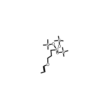 CC=COCCC[Si](O[Si](C)(C)C)(O[Si](C)(C)C)O[Si](C)(C)C